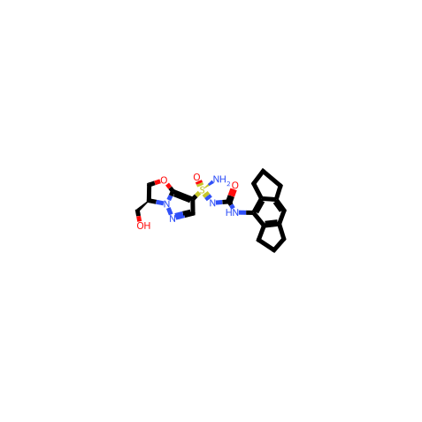 N[S@@](=O)(=NC(=O)Nc1c2c(cc3c1CCC3)CCC2)c1cnn2c1OC[C@@H]2CO